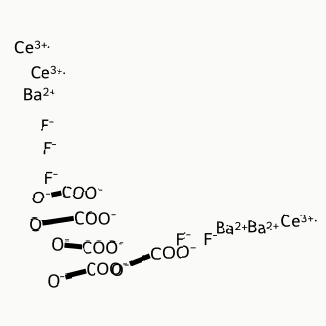 O=C([O-])[O-].O=C([O-])[O-].O=C([O-])[O-].O=C([O-])[O-].O=C([O-])[O-].[Ba+2].[Ba+2].[Ba+2].[Ce+3].[Ce+3].[Ce+3].[F-].[F-].[F-].[F-].[F-]